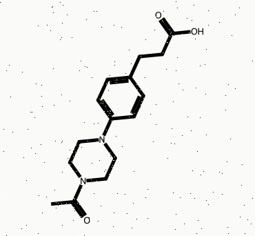 CC(=O)N1CCN(c2ccc(CCC(=O)O)cc2)CC1